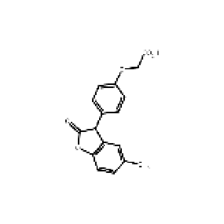 Cc1ccc2c(c1)C(c1ccc(OCC(=O)O)cc1)C(=O)O2